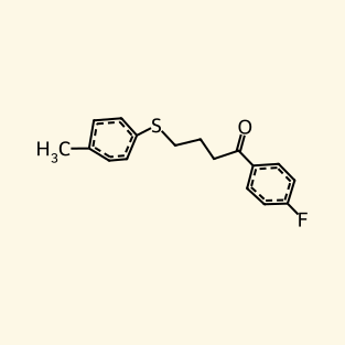 Cc1ccc(SCCCC(=O)c2ccc(F)cc2)cc1